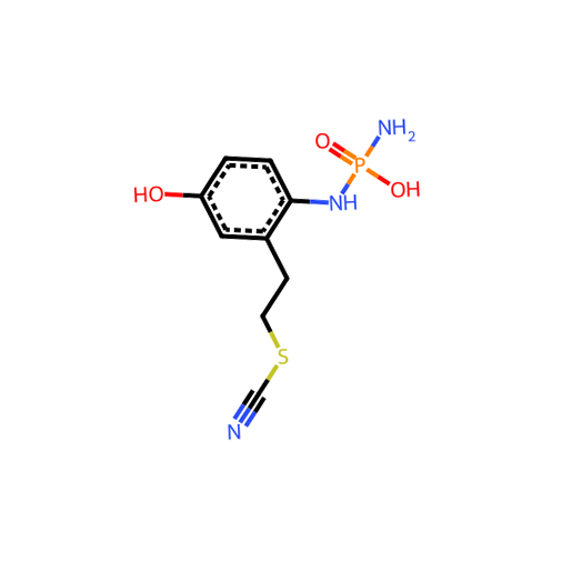 N#CSCCc1cc(O)ccc1NP(N)(=O)O